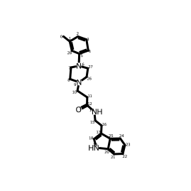 Cc1cccc(N2CCN(CCC(=O)NCCc3c[nH]c4ccccc34)CC2)c1